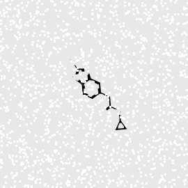 Nc1nc2ccc(CC(=O)NC3CC3)cc2s1